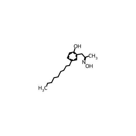 CCCCCCCCCc1ccc(O)c(CC(C)=NO)c1